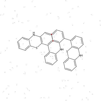 c1ccc2c(c1)Nc1cccc(-c3ccccc3Nc3ccccc3-c3cccc4c3Sc3ccccc3N4)c1S2